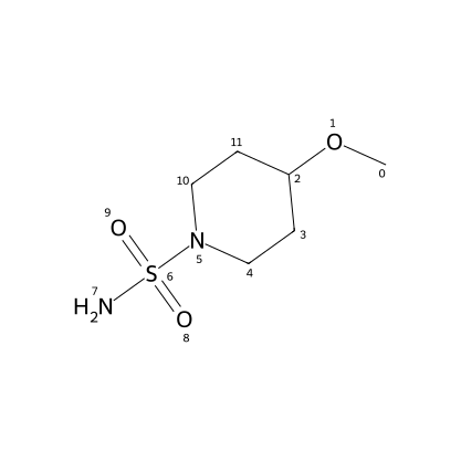 COC1CCN(S(N)(=O)=O)CC1